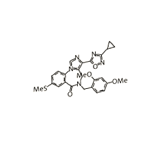 COc1ccc(CN2Cc3c(-c4nc(C5CC5)no4)ncn3-c3ccc(SC)cc3C2=O)c(OC)c1